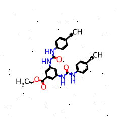 C#Cc1ccc(NC(=O)Nc2cc(NC(=O)Nc3ccc(C#C)cc3)cc(C(=O)OCC)c2)cc1